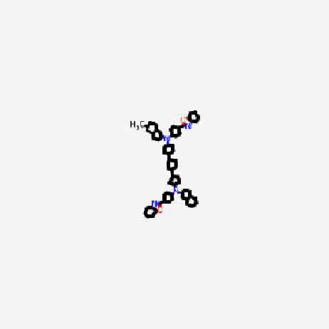 CC1C=Cc2cc(N(c3ccc(-c4ccc(-c5ccc(N(c6ccc(-c7nc8ccccc8o7)cc6)c6ccc7ccccc7c6)cc5)cc4)cc3)c3ccc(-c4nc5ccccc5o4)cc3)ccc2C1